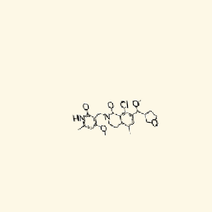 COc1cc(C)[nH]c(=O)c1CN1CCc2c(C)cc(C(OC)C3CCOC3)c(Cl)c2C1=O